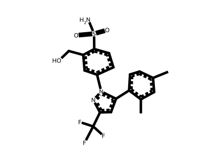 Cc1ccc(-c2cc(C(F)(F)F)nn2-c2ccc(S(N)(=O)=O)c(CO)c2)c(C)c1